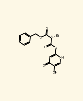 CC[C@@H](C(=O)OCc1ccccc1)C(=O)Oc1cc(=O)c(O)c[nH]1